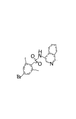 Cc1cc(Br)cc(C)c1S(=O)(=O)Nc1cn[c]c2ccccc12